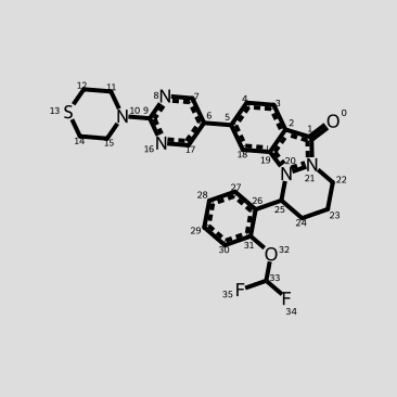 O=c1c2ccc(-c3cnc(N4CCSCC4)nc3)cc2n2n1CCCC2c1ccccc1OC(F)F